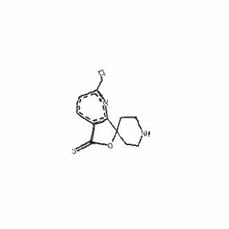 O=C1OC2(CCNCC2)c2nc(Cl)ccc21